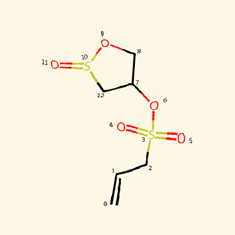 C=CCS(=O)(=O)OC1COS(=O)C1